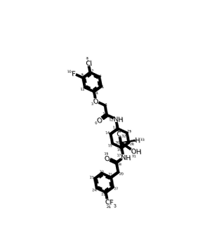 O=C(COc1ccc(Cl)c(F)c1)NC12CCC(NC(=O)Cc3cccc(C(F)(F)F)c3)(CC1)[C@@H](O)C2